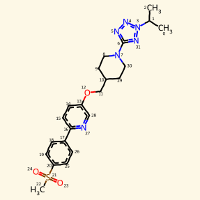 CC(C)n1nnc(N2CCC(COc3ccc(-c4ccc(S(C)(=O)=O)cc4)nc3)CC2)n1